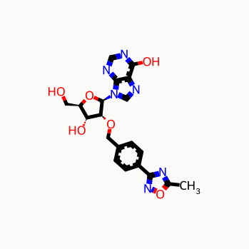 Cc1nc(-c2ccc(CO[C@@H]3[C@H](O)[C@@H](CO)O[C@H]3n3cnc4c(O)ncnc43)cc2)no1